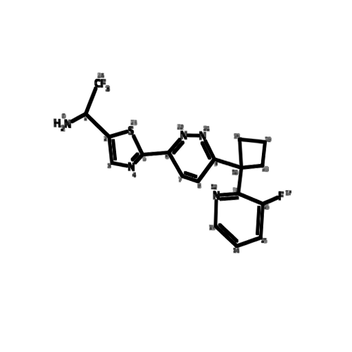 NC(c1cnc(-c2ccc(C3(c4ncccc4F)CCC3)nn2)s1)C(F)(F)F